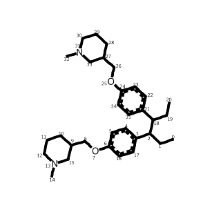 CCC(c1ccc(OCC2CCCN(C)C2)cc1)C(CC)c1ccc(OCC2CCCN(C)C2)cc1